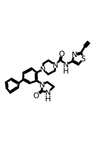 C#Cc1nc(NC(=O)N2CCN(c3ccc(-c4ccccc4)cc3N3CCNC3=O)CC2)cs1